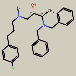 CCN(CCCc1ccc(F)cc1)C[C@H](O)[C@@H](C)N(Cc1ccccc1)Cc1ccccc1